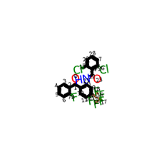 O=C(c1ccccc1F)c1ccc(S(F)(F)(F)(F)F)cc1NC(=O)c1c(Cl)cccc1Cl